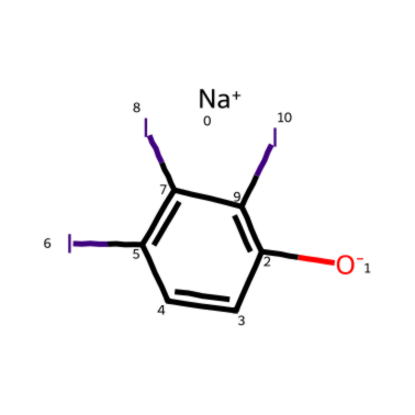 [Na+].[O-]c1ccc(I)c(I)c1I